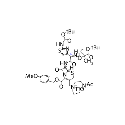 COc1ccc(COC(=O)C2=C(C[N+]3(CCN(O)C(C)=O)CCCC3)CS[C@@H]3[C@H](NC(=O)/C(=N\OC(C)(C)C(=O)OC(C)(C)C)c4csc(NC(=O)OC(C)(C)C)n4)C(=O)N23)cc1